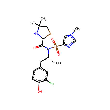 CCOC(=O)[C@H](Cc1ccc(O)c(Cl)c1)N(C(=O)[C@H]1NC(C)(C)CS1)S(=O)(=O)c1cn(C)cn1